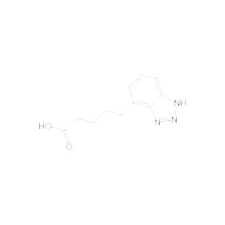 O=C(O)CCCCc1cccc2[nH]nnc12